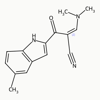 Cc1ccc2[nH]c(C(=O)/C(C#N)=C\N(C)C)cc2c1